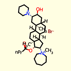 CCCC(=O)O[C@H]1[C@@H]([N+]2(C)CCCCCC2)C[C@H]2[C@@H]3CC[C@H]4C[C@H](O)[C@@H](N5CCCCC5)C[C@]4(C)[C@H]3CC[C@@]21C.[Br-]